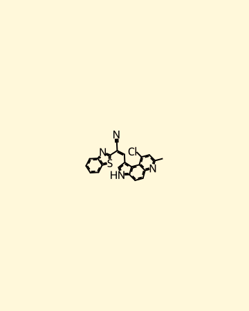 Cc1cc(Cl)c2c(ccc3[nH]cc(C=C(C#N)c4nc5ccccc5s4)c32)n1